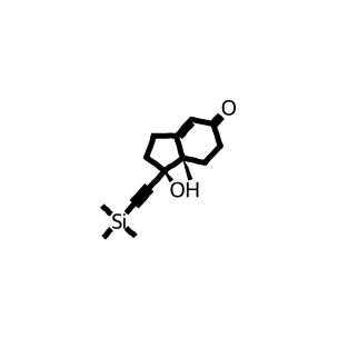 C[C@]12CCC(=O)C=C1CC[C@@]2(O)C#C[Si](C)(C)C